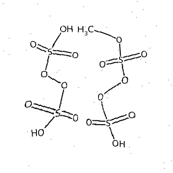 COS(=O)(=O)OOS(=O)(=O)O.O=S(=O)(O)OOS(=O)(=O)O